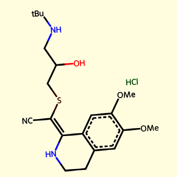 COc1cc2c(cc1OC)C(=C(C#N)SCC(O)CNC(C)(C)C)NCC2.Cl